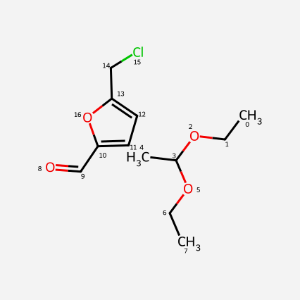 CCOC(C)OCC.O=Cc1ccc(CCl)o1